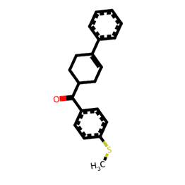 CSc1ccc(C(=O)C2CC=C(c3ccccc3)CC2)cc1